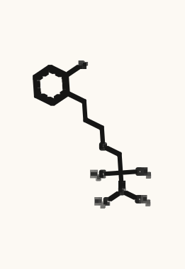 C[SiH](C)C(C)(C)COCCCc1ccccc1Br